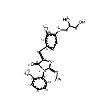 CCC/N=C1/S/C(=C\c2ccc(OCC(O)CO)c(Cl)c2)C(=O)N1c1ccccc1C